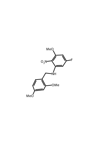 COc1ccc(CNc2cc(F)cc(OC)c2[N+](=O)[O-])c(OC)c1